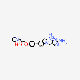 Nc1ncc(CN2CCc3cc(-c4ccc(OCC(O)CN5CCCC5)cc4)ccc32)c(N)n1